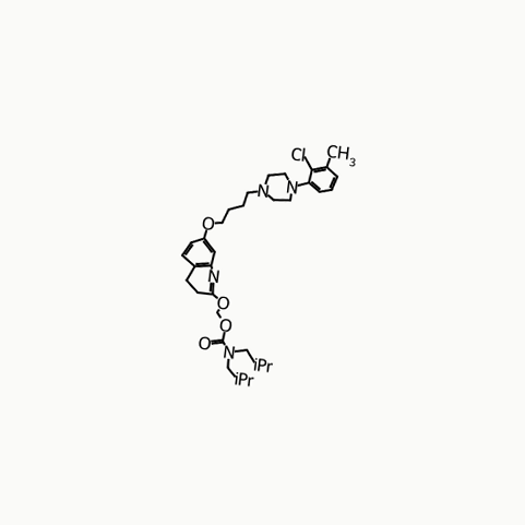 Cc1cccc(N2CCN(CCCCOc3ccc4c(c3)N=C(OCOC(=O)N(CC(C)C)CC(C)C)CC4)CC2)c1Cl